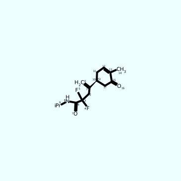 C=C(CC(F)(F)C(=O)NC(C)C)[C@H]1CC=C(C)C(=O)C1